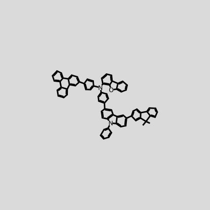 CC1(C)c2ccccc2-c2ccc(-c3ccc4c(c3)c3cc(-c5ccc(N(c6ccc(-c7ccc8c9ccccc9c9ccccc9c8c7)cc6)c6cccc7c6oc6ccccc67)cc5)ccc3n4-c3ccccc3)cc21